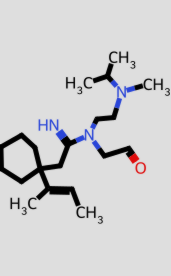 C/C=C(\C)C1(CC(=N)N(CC=O)CCN(C)C(C)C)CCCCC1